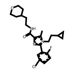 Cc1c(C(=O)NCCC2CCOCC2)nc(-c2cc(Cl)ccc2F)n1CCC1CC1